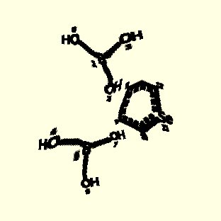 OB(O)O.OB(O)O.c1cc[se]c1